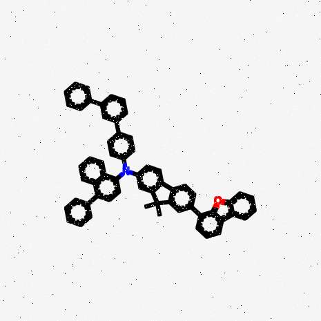 CC1(C)c2cc(-c3cccc4c3oc3ccccc34)ccc2-c2ccc(N(c3ccc(-c4cccc(-c5ccccc5)c4)cc3)c3ccc(-c4ccccc4)c4ccccc34)cc21